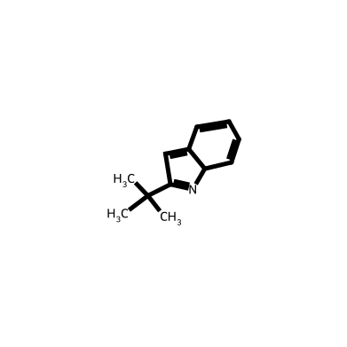 CC(C)(C)C1=NC2C=CC=CC2=C1